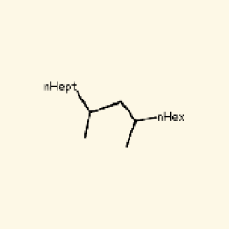 CCCCCCCC(C)CC(C)CCCCCC